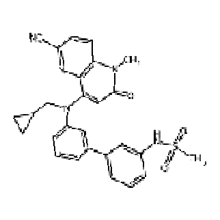 Cn1c(=O)cc(N(CC2CC2)c2cccc(-c3cccc(NS(C)(=O)=O)c3)c2)c2nc(C#N)ccc21